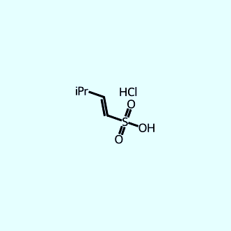 CC(C)/C=C/S(=O)(=O)O.Cl